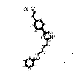 O=C/C=C/c1ccc(-c2nnc(CSCCOc3ccccc3)o2)cc1